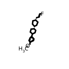 COCc1ccc(C2CCC([C@H]3CC[C@H](C/C=C/F)CC3)CC2)cc1